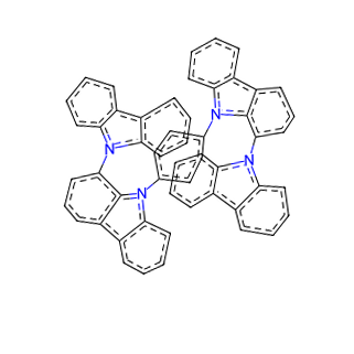 c1ccc2c(c1)c1ccccc1n2-c1cccc2c3ccccc3n(-c3ccc(-n4c5ccccc5c5cccc(-n6c7ccccc7c7ccccc76)c54)cc3)c12